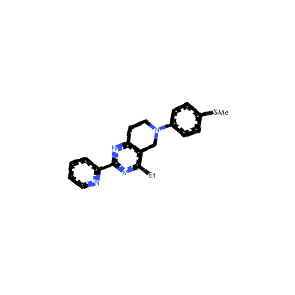 CCc1nc(-c2ccccn2)nc2c1CN(c1ccc(SC)cc1)CC2